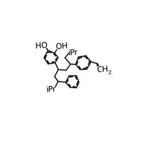 C=Cc1ccc(C(CC(C)C)CC(CC(c2ccccc2)C(C)C)c2ccc(O)c(O)c2)cc1